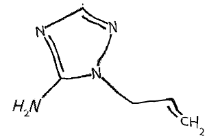 C=CCn1n[c]nc1N